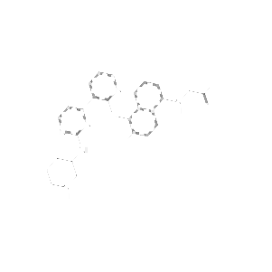 Cc1ccc2c(NCC(=O)O)cccc2c1Oc1ncccc1-c1ccnc(NC2CCCNC2)n1